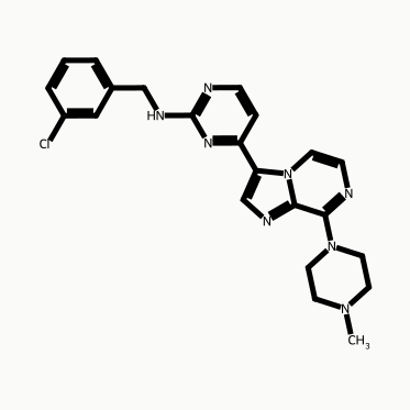 CN1CCN(c2nccn3c(-c4ccnc(NCc5cccc(Cl)c5)n4)cnc23)CC1